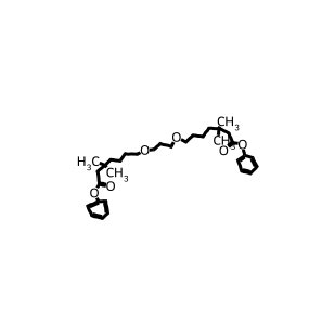 CC(C)(CCCCOCCCOCCCCC(C)(C)CC(=O)Oc1ccccc1)CC(=O)Oc1ccccc1